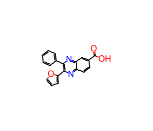 O=C(O)c1ccc2nc(-c3ccco3)c(-c3ccccc3)nc2c1